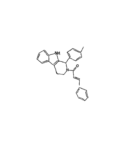 Cc1ccc(C2c3[nH]c4ccccc4c3CCN2C(=O)/C=C/c2ccccc2)cc1